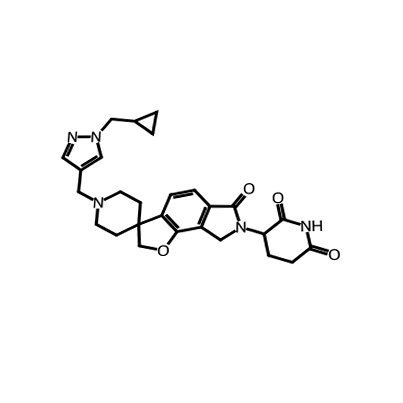 O=C1CCC(N2Cc3c(ccc4c3OCC43CCN(Cc4cnn(CC5CC5)c4)CC3)C2=O)C(=O)N1